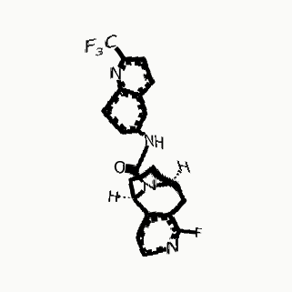 O=C(Nc1ccc2nc(C(F)(F)F)ccc2c1)N1[C@H]2CC[C@@H]1c1ccnc(F)c1C2